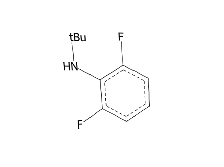 CC(C)(C)Nc1c(F)cccc1F